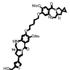 COc1cc2c(cc1OCCCCCOc1cc3c(cc1OC)C(=O)N1CC4(CC4)C[C@H]1CN3)NC[C@@H]1CC(c3csc(CO)c3)=CN1C2=O